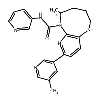 Cc1cncc(-c2ccc3c(n2)N(C(=O)Nc2cccnc2)[C@H](C)CCCN3)c1